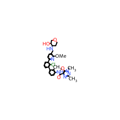 COc1nc(-c2cccc(-c3cccc(NC(=O)c4nc(C)nn(C)c4=O)c3C)c2Cl)ccc1CNC1CCOCC1O